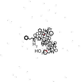 CC[C@H](C)[C@H](NC(=O)[C@H](CC(C)C)N(C)C(=O)C[C@@H](C(=O)N1CCCCC1)N(C)C(=O)[C@H](C(C)C)N(C)C(=O)C1(CC(=O)[C@@H]2CCCN2C(=O)[C@@H](N)CCc2ccccc2)CCCC1)C(=O)N(C)CC(=O)N(C)CC(=O)N(C)[C@@H](CC1CCCCC1)C(=O)N(C)CC(=O)O